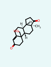 C[C@]12CC[C@H]3[C@@H](CCC4=CC(=O)CCC43CO)[C@@H]1CCC2=O